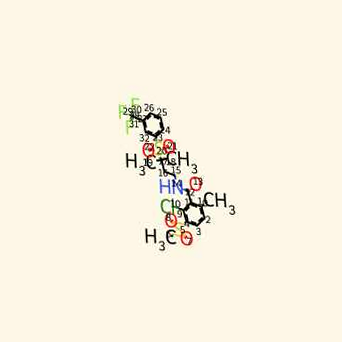 Cc1ccc(S(C)(=O)=O)c(Cl)c1C(=O)NCCC(C)(C)S(=O)(=O)c1cccc(C(F)(F)F)c1